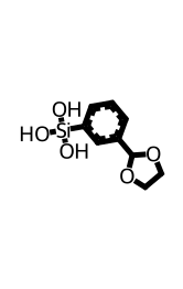 O[Si](O)(O)c1cccc(C2OCCO2)c1